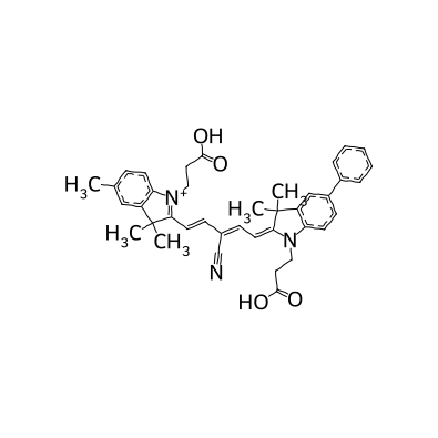 Cc1ccc2c(c1)C(C)(C)C(/C=C/C(C#N)=C/C=C1/N(CCC(=O)O)c3ccc(-c4ccccc4)cc3C1(C)C)=[N+]2CCC(=O)O